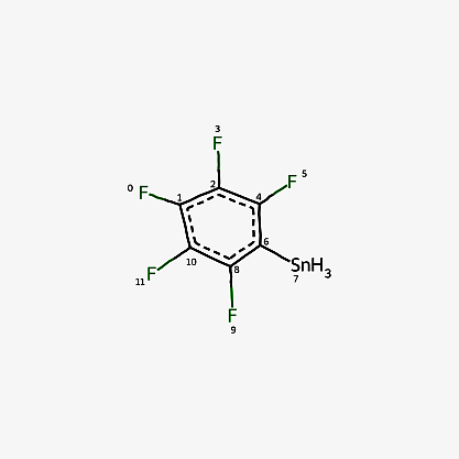 Fc1c(F)c(F)[c]([SnH3])c(F)c1F